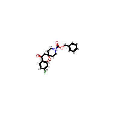 O=C1CC2(CCN(C(=O)OCc3ccccc3)CC2)Oc2cc(F)ccc21